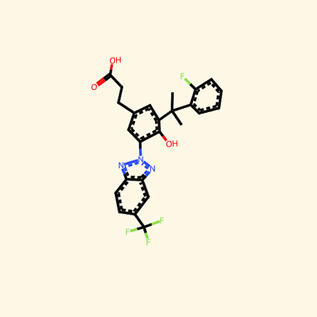 CC(C)(c1ccccc1F)c1cc(CCC(=O)O)cc(-n2nc3ccc(C(F)(F)F)cc3n2)c1O